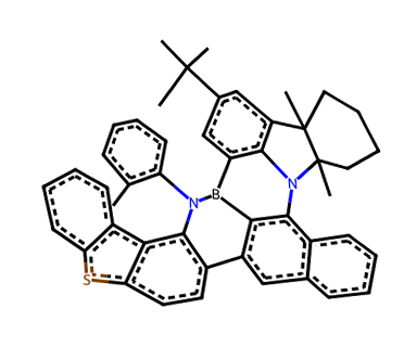 Cc1ccccc1N1B2c3cc(C(C)(C)C)cc4c3N(c3c2c(cc2ccccc32)-c2ccc3sc5ccccc5c3c21)C1(C)CCCCC41C